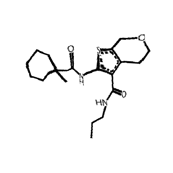 CCCNC(=O)c1c(NC(=O)C2(C)CCCCC2)sc2c1CCOC2